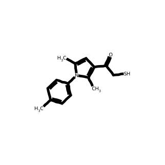 Cc1ccc(-n2c(C)cc(C(=O)CS)c2C)cc1